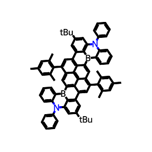 Cc1cc(C)c(-c2cc3c4c(cc5c(-c6c(C)cc(C)cc6C)cc6c7c(cc2c4c57)B2c4ccccc4N(c4ccccc4)c4cc(C(C)(C)C)cc-6c42)B2c4ccccc4N(c4ccccc4)c4cc(C(C)(C)C)cc-3c42)c(C)c1